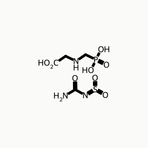 NC(=O)N=S(=O)=O.O=C(O)CNCP(=O)(O)O